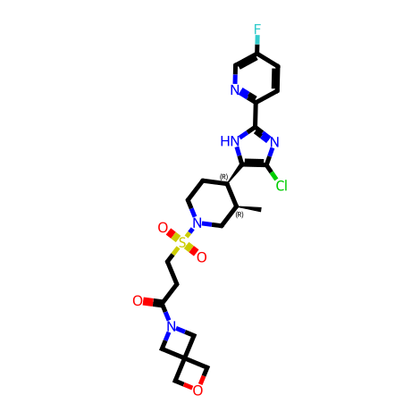 C[C@H]1CN(S(=O)(=O)CCC(=O)N2CC3(COC3)C2)CC[C@H]1c1[nH]c(-c2ccc(F)cn2)nc1Cl